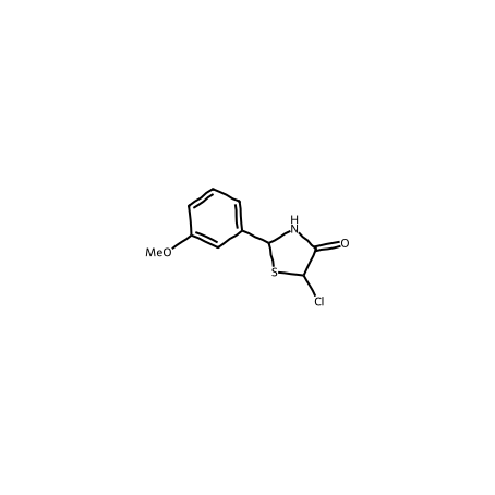 COc1cccc(C2NC(=O)C(Cl)S2)c1